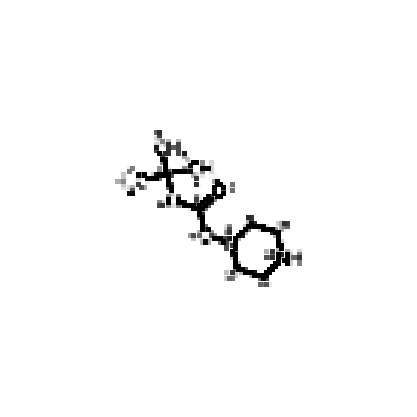 CC(C)(C)OC(=O)ON1CCNCC1